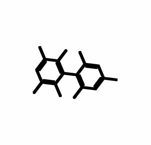 Cc1cc(C)c(-c2c(C)c(C)cc(C)c2C)c(C)c1